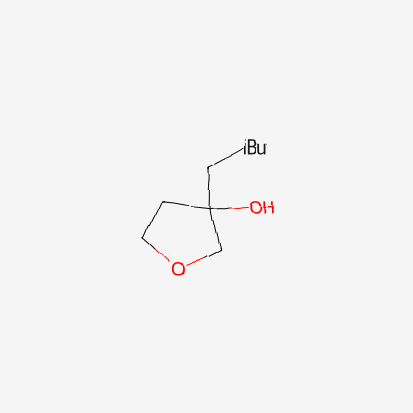 CCC(C)CC1(O)CCOC1